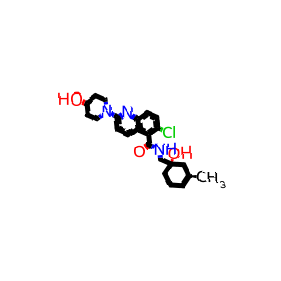 C[C@H]1CCC[C@](O)(CNC(=O)c2c(Cl)ccc3nc(N4CCC(O)CC4)ccc23)C1